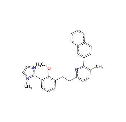 COc1c(CCc2ccc(C)c(-c3ccc4ccccc4c3)n2)cccc1-c1nccn1C